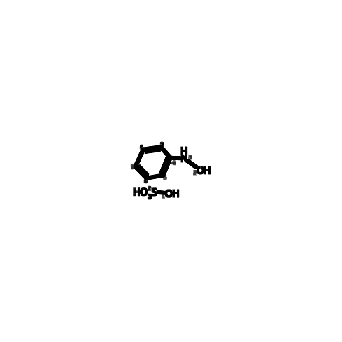 O=S(=O)(O)O.ONc1ccccc1